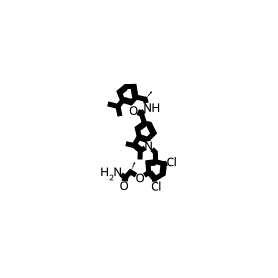 Cc1c(C)n(Cc2cc(O[C@@H](C)C(N)=O)c(Cl)cc2Cl)c2ccc(C(=O)N[C@@H](C)c3cccc(C(C)C)c3)cc12